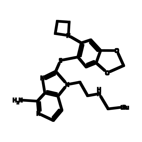 CC(C)(C)CNCCn1c(Sc2cc3c(cc2N2CCC2)OCO3)nc2c(N)nccc21